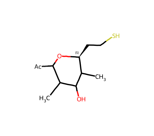 CC(=O)C1O[C@@H](CCS)C(C)C(O)C1C